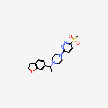 CC(c1ccc2c(c1)OCC2)N1CCN(c2ccc(S(C)(=O)=O)nn2)CC1